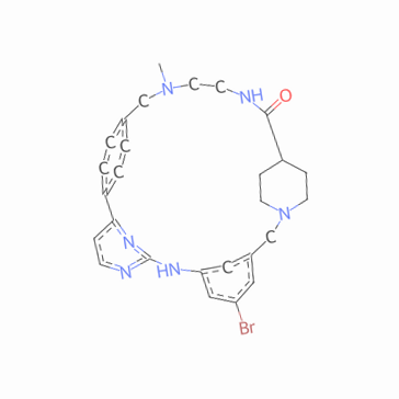 CN1CCNC(=O)C2CCN(CC2)Cc2cc(Br)cc(c2)Nc2nccc(n2)-c2ccc(cc2)C1